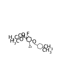 CC1(C)CCC(COc2cc(F)c(C(=O)OC(C)(C)C)cc2C2CC2)CC1